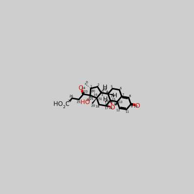 C[C@@H]1C[C@H]2[C@@H]3CCC4=CC(=O)C=C[C@]4(C)[C@@]34O[C@H]4C[C@]2(C)[C@@]1(O)C(=O)CCC(=O)O